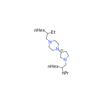 CCCCCCC(CC)CN1CCN([C@H]2CCN(CC(CCC)CCCCCC)C2)CC1